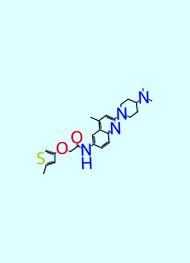 Cc1cc(OCC(=O)Nc2ccc3nc(N4CCC(N(C)C)CC4)cc(C)c3c2)cs1